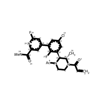 C=CC(=O)N1CCN(C(C)=O)[C@@H](c2cc(Cl)cc(-c3cc(F)nc(C(=O)NC)c3)c2F)[C@@H]1C